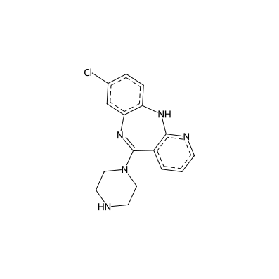 Clc1ccc2c(c1)N=C(N1CCNCC1)c1cccnc1N2